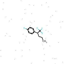 CCCC(c1ccc(F)cc1)C(F)(F)F